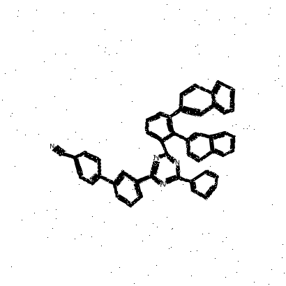 N#Cc1ccc(-c2cccc(-c3nc(-c4ccccc4)nc(-c4cccc(-c5ccc6ccccc6c5)c4-c4ccc5ccccc5c4)n3)c2)cc1